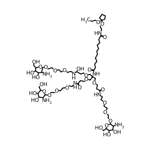 CCCOC1(OCCNC(=O)CCCCCCCCCCC(=O)NC(COCCC(=O)NCCOCCOCCOC2OC(CO)C(O)C(O)C2N)(COCCC(=O)NCCOCCOCCOC2OC(CO)C(O)C(O)C2N)COCCC(O)NCCOCCOCCOC2OC(CO)C(O)C(O)C2N)CCCC1